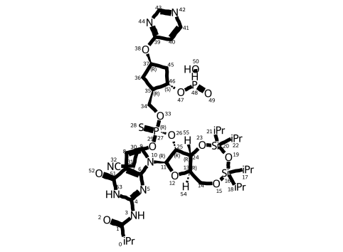 CC(C)C(=O)Nc1nc2c(ccn2[C@@H]2O[C@@H]3CO[Si](C(C)C)(C(C)C)O[Si](C(C)C)(C(C)C)O[C@H]3[C@H]2O[P@@](=S)(OCCC#N)OC[C@H]2C[C@@H](Oc3ccncn3)C[C@@H]2O[PH](=O)O)c(=O)[nH]1